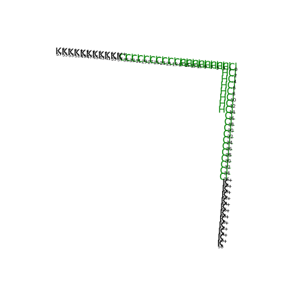 Cl.Cl.Cl.Cl.Cl.Cl.Cl.Cl.Cl.Cl.Cl.Cl.Cl.Cl.Cl.[Cl-].[Cl-].[Cl-].[Cl-].[Cl-].[Cl-].[Cl-].[Cl-].[Cl-].[Cl-].[Cl-].[Cl-].[Cl-].[Cl-].[Cl-].[Cl-].[Cl-].[Cl-].[Cl-].[Cl-].[Cl-].[Cl-].[K+].[K+].[K+].[K+].[K+].[K+].[K+].[K+].[K+].[K+].[K+].[K+].[K+].[K+].[K+].[K+].[K+].[K+].[K+].[K+].[K+].[K+]